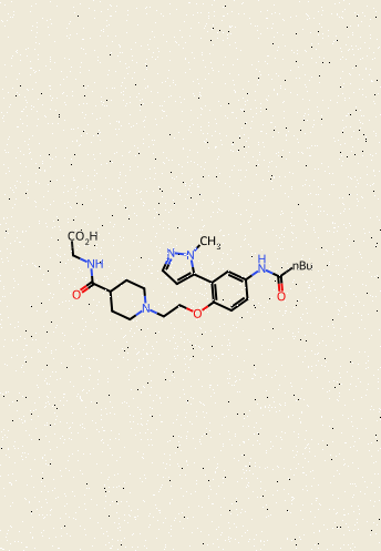 CCCCC(=O)Nc1ccc(OCCN2CCC(C(=O)NCC(=O)O)CC2)c(-c2ccnn2C)c1